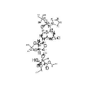 CCOP(=O)(OCC)C(C)(OC[C@H]1O[C@@H](n2ncc3c(N(C(=O)OC(C)(C)C)C4CCCC4)nc(Cl)nc32)[C@@H]2OC(C)(C)O[C@@H]21)C(=O)O